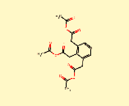 CC(=O)OC(=O)Cc1cccc(CC(=O)OC(C)=O)c1CC(=O)OC(C)=O